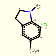 CC(=O)N1CCc2cc(S(=O)(=O)O)ccc21.Cl